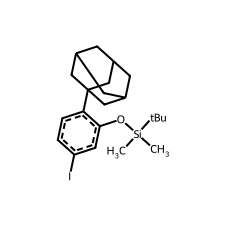 CC(C)(C)[Si](C)(C)Oc1cc(I)ccc1C12CC3CC(CC(C3)C1)C2